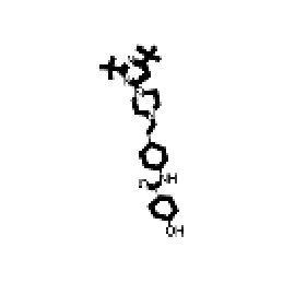 CC(C)(C)c1cc(N2CCN(CC[C@H]3CC[C@@H](NC(=O)[C@H]4CC[C@@H](O)CC4)CC3)CC2)nc(C(C)(C)C)n1